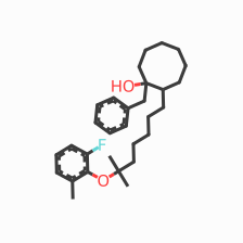 Cc1cccc(F)c1OC(C)(C)CCCCCC1CCCCCCC1(O)Cc1ccccc1